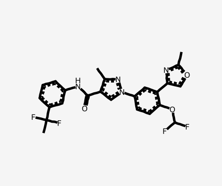 Cc1nc(-c2cc(-n3cc(C(=O)Nc4cccc(C(C)(F)F)c4)c(C)n3)ccc2OC(F)F)co1